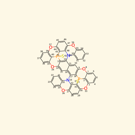 S=P12c3c4cccc3Oc3cc5c6c7c(cc5c(c31)N1c3ccccc3Oc3ccc(c2c31)O4)Oc1cccc2c1P7(=S)c1c(ccc3c1N6c1ccccc1O3)O2